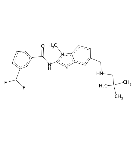 Cn1c(NC(=O)c2cccc(C(F)F)c2)nc2cc(CNCC(C)(C)C)ccc21